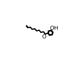 C=CCCCCCCCC(=O)c1[c]c(O)ccc1